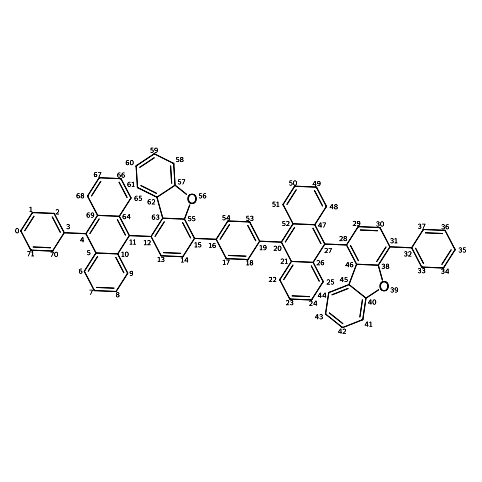 c1ccc(-c2c3ccccc3c(-c3ccc(-c4ccc(-c5c6ccccc6c(-c6ccc(-c7ccccc7)c7oc8ccccc8c67)c6ccccc56)cc4)c4oc5ccccc5c34)c3ccccc23)cc1